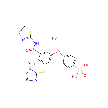 Br.Cn1ccnc1Sc1cc(Oc2ccc(P(=O)(O)O)cc2)cc(C(=O)Nc2nccs2)c1